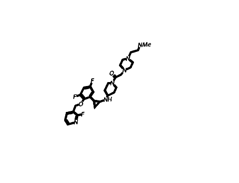 CNCCN1CCN(CC(=O)N2CCC(NC3CC3c3cc(F)cc(F)c3OCc3cccnc3F)CC2)CC1